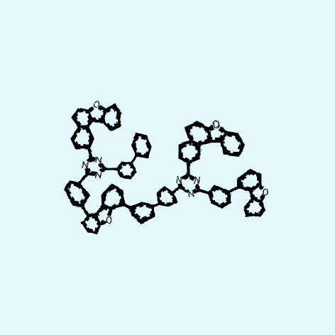 c1ccc(-c2cccc(-c3nc(-c4cccc(-c5cccc6oc7c(-c8cccc(-c9ccc(-c%10nc(-c%11cccc(-c%12cccc%13oc%14ccccc%14c%12%13)c%11)nc(-c%11ccc%12ccc%13oc%14ccccc%14c%13c%12c%11)n%10)cc9)c8)cccc7c56)c4)nc(-c4ccc5ccc6oc7ccccc7c6c5c4)n3)c2)cc1